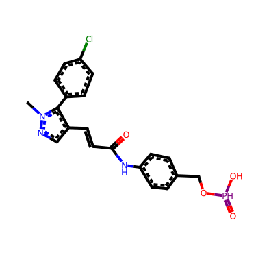 Cn1ncc(C=CC(=O)Nc2ccc(CO[PH](=O)O)cc2)c1-c1ccc(Cl)cc1